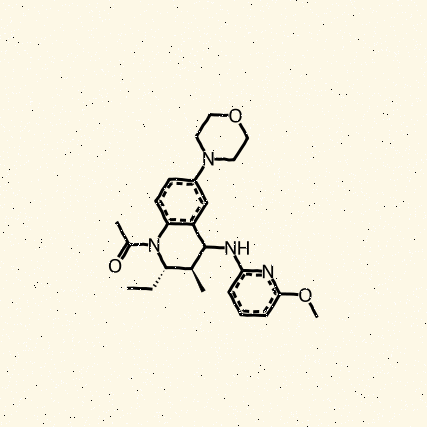 CC[C@H]1[C@H](C)C(Nc2cccc(OC)n2)c2cc(N3CCOCC3)ccc2N1C(C)=O